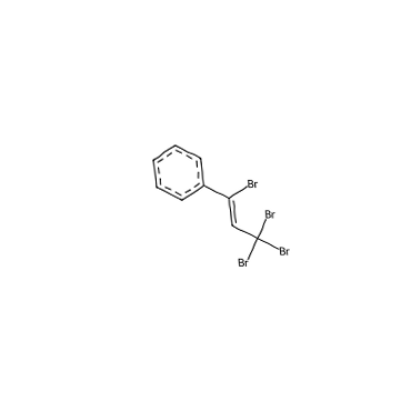 BrC(=CC(Br)(Br)Br)c1ccccc1